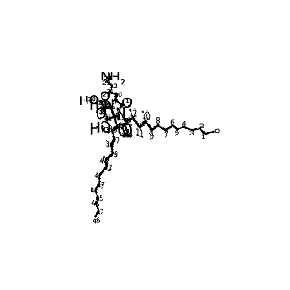 CCCCCCCCCCCCCC(=O)N(C(=O)C(N)CCCCN)C(CCC(=O)O)(C(=O)O)C(=O)CCCCCCCCCCCCC